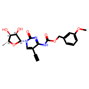 C#Cc1cn([C@@H]2O[C@H](C)[C@@H](O)[C@H]2O)c(=O)nc1NC(=O)OCc1cccc(OC)c1